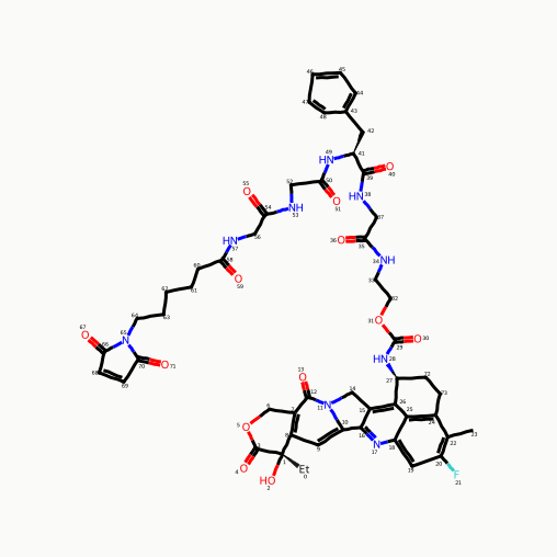 CC[C@@]1(O)C(=O)OCc2c1cc1n(c2=O)Cc2c-1nc1cc(F)c(C)c3c1c2[C@@H](NC(=O)OCCNC(=O)CNC(=O)[C@H](Cc1ccccc1)NC(=O)CNC(=O)CNC(=O)CCCCCN1C(=O)C=CC1=O)CC3